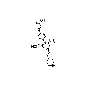 CC1CN(CCC2CCNCC2)CCN1c1ccc(OCC(=O)O)cc1.Cl.Cl